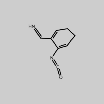 N=CC1=CCCC=C1N=C=O